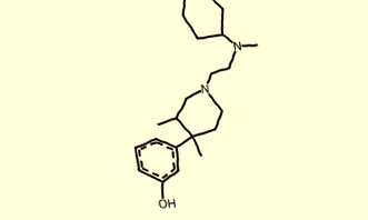 CC1CN(CCN(C)C2CCCCC2)CCC1(C)c1cccc(O)c1